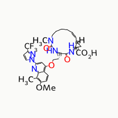 COc1ccc2c(OCC[C@@H]3NC(=O)N(C)CCCCC=C[C@@H]4C[C@@]4(C(=O)O)NC3=O)cc(-n3ccc(C(F)(F)F)n3)nc2c1C